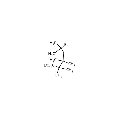 CCOC(=O)C(C)(C)C(C)(C)CC(C)(C)CC